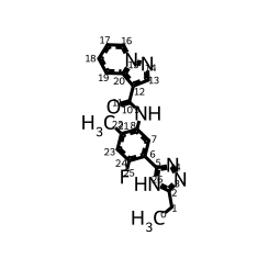 CCc1nnc(-c2cc(NC(=O)c3cnn4ccccc34)c(C)cc2F)[nH]1